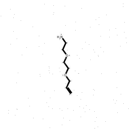 C=CCOCCOCCN